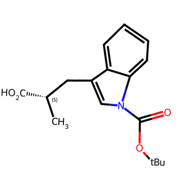 C[C@@H](Cc1cn(C(=O)OC(C)(C)C)c2ccccc12)C(=O)O